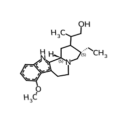 CC[C@@H]1CN2CCc3c([nH]c4cccc(OC)c34)[C@@H]2CC1C(C)CO